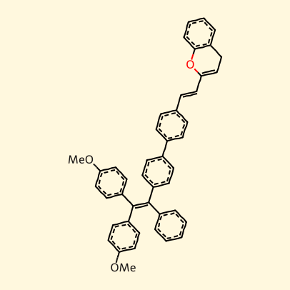 COc1ccc(C(=C(c2ccccc2)c2ccc(-c3ccc(C=CC4=CCc5ccccc5O4)cc3)cc2)c2ccc(OC)cc2)cc1